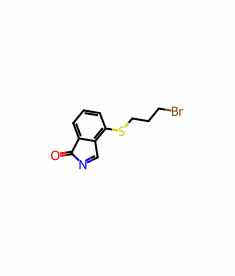 O=C1N=Cc2c(SCCCBr)cccc21